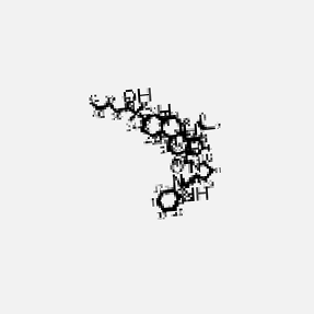 C=C(C)[C@@H]1CC[C@]2(C(=O)N3CCC[C@H]3c3nc4ccccc4[nH]3)CC[C@]3(C)[C@H](CC[C@@H]4C[C@H](C(C)(C)[C@@H](O)CCCC)CC[C@]43C)[C@@H]12